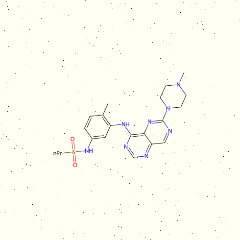 CCCS(=O)(=O)Nc1ccc(C)c(Nc2ncnc3cnc(N4CCN(C)CC4)nc23)c1